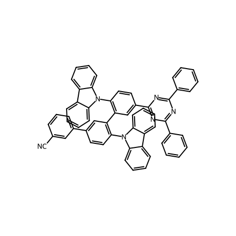 N#Cc1cccc(-c2ccc(-n3c4ccccc4c4ccccc43)c(-c3cc(-c4nc(-c5ccccc5)nc(-c5ccccc5)n4)ccc3-n3c4ccccc4c4ccccc43)c2)c1